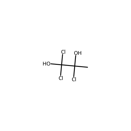 CC(O)(Cl)C(O)(Cl)Cl